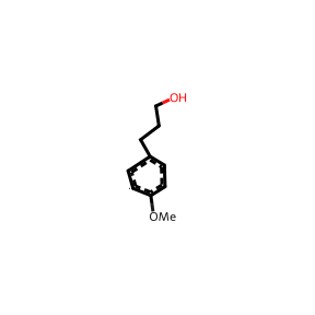 COc1[c]cc(CCCO)cc1